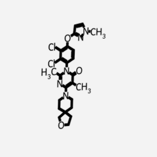 Cc1c(N2CCC3(CCOC3)CC2)nc(C)n(-c2ccc(Oc3ccn(C)n3)c(Cl)c2Cl)c1=O